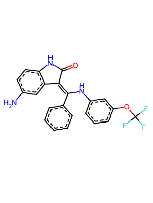 Nc1ccc2c(c1)/C(=C(/Nc1cccc(OC(F)(F)F)c1)c1ccccc1)C(=O)N2